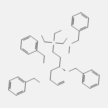 C=C[C@H](OCc1ccccc1)[C@H](OCc1ccccc1)[C@H](OCc1ccccc1)[C@@H](COCc1ccccc1)C[Si](CC)(CC)CC